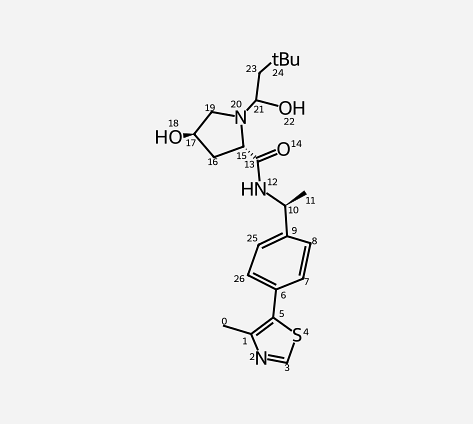 Cc1ncsc1-c1ccc([C@H](C)NC(=O)[C@@H]2C[C@@H](O)CN2C(O)CC(C)(C)C)cc1